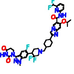 CC(C)Oc1cc2nc(C3CCC(CN4CCC(c5cc6c(cc5F)c(N5CCC(=O)NC5=O)nn6C)C(F)(F)C4)CC3)cn2cc1C(=O)Nc1cccc(C(F)F)n1